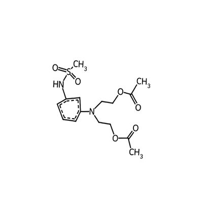 CC(=O)OCCN(CCOC(C)=O)c1cccc(NS(C)(=O)=O)c1